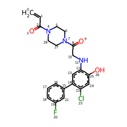 C=CC(=O)N1CCN(C(=O)CNc2cc(-c3cccc(F)c3)c(Cl)cc2O)CC1